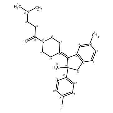 Cc1ccc2c(c1)C(=C1CCN(C(=O)CCN(C)C)CC1)C(C)(c1ccc(F)cc1)C2